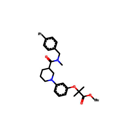 CC(C)c1ccc(CN(C)C(=O)C2CCCN(c3cccc(OC(C)(C)C(=O)OC(C)(C)C)c3)C2)cc1